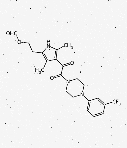 Cc1[nH]c(CCOC=O)c(C)c1C(=O)C(=O)N1CCN(c2cccc(C(F)(F)F)c2)CC1